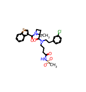 C[C@]1(C(=O)N(CCCC(=O)NS(C)(=O)=O)CCc2cccc(Cl)c2)CCN1C(=O)c1csc2ccccc12